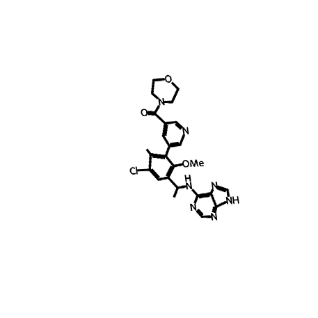 COc1c(C(C)Nc2ncnc3[nH]cnc23)cc(Cl)c(C)c1-c1cncc(C(=O)N2CCOCC2)c1